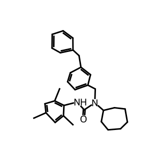 Cc1cc(C)c(NC(=O)N(Cc2cccc(Cc3ccccc3)c2)C2CCCCCC2)c(C)c1